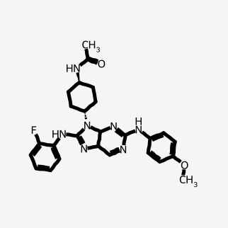 COc1ccc(NC2=NC3C(C=N2)N=C(Nc2ccccc2F)N3[C@H]2CC[C@H](NC(C)=O)CC2)cc1